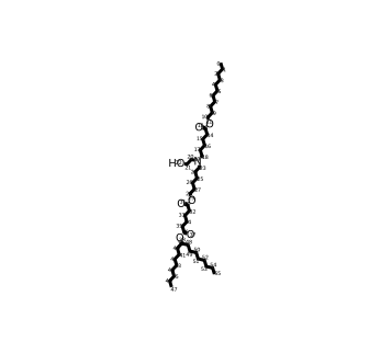 CCCCCCCCCCCOC(=O)CCCCCN(CCO)CCCCCCOC(=O)CCCCC(=O)OC(CCCCCCCC)CCCCCCCC